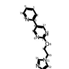 c1ccc(-c2cnc(OCCn3ccnc3)nc2)nc1